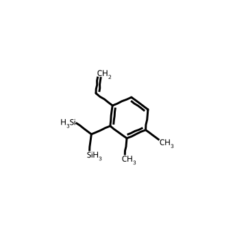 C=Cc1ccc(C)c(C)c1C([SiH3])[SiH3]